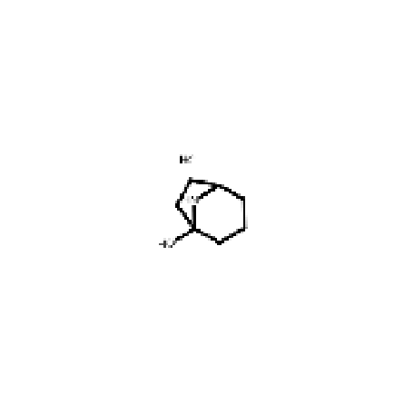 Cl.OC12CCCC(CC1)N2